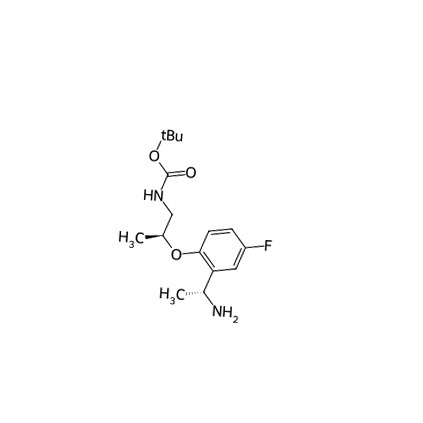 C[C@@H](CNC(=O)OC(C)(C)C)Oc1ccc(F)cc1[C@@H](C)N